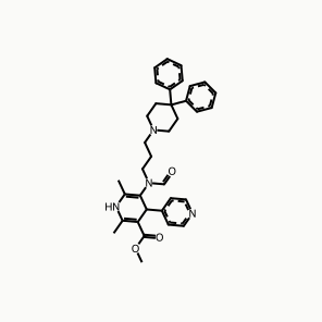 COC(=O)C1=C(C)NC(C)=C(N(C=O)CCCN2CCC(c3ccccc3)(c3ccccc3)CC2)C1c1ccncc1